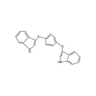 c1ccc2c(Oc3ccc(Oc4c[nH]c5ccccc45)cc3)c[nH]c2c1